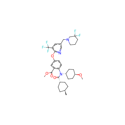 COC(=O)c1cc(Oc2ncc(CN3CCCC(F)(F)C3)cc2C(F)(F)F)ccc1N(C(=O)[C@H]1CC[C@H](C)CC1)[C@H]1CC[C@H](OC)CC1